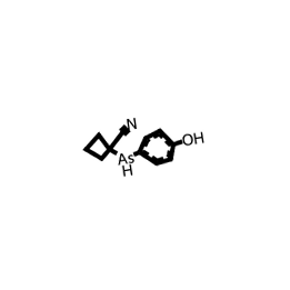 N#CC1([AsH]c2ccc(O)cc2)CCC1